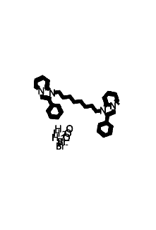 O.O.O.[Br-].[Br-].c1ccc(-c2c[n+]3ccccc3n2CCCCCCCCn2c(-c3ccccc3)c[n+]3ccccc23)cc1